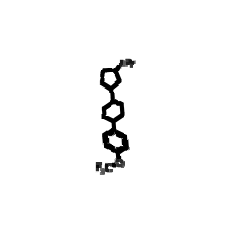 CCCC1CCC(C2CCC(c3ccc(OC(F)(F)F)cc3)CC2)C1